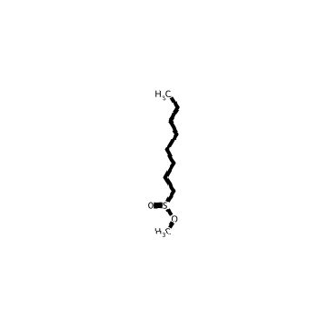 CCCCCCCCS(=O)OC